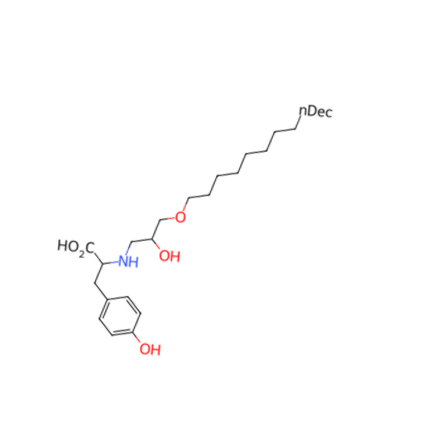 CCCCCCCCCCCCCCCCCCOCC(O)CNC(Cc1ccc(O)cc1)C(=O)O